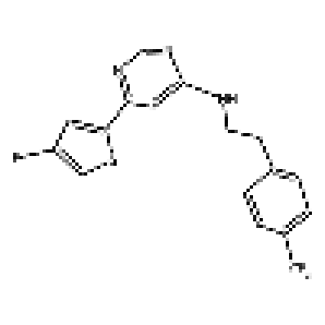 Fc1csc(-c2cc(NCCc3ccc(C(F)(F)F)cc3)ncn2)c1